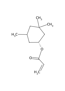 C=CC(=O)O[C@@H]1CC(C)CC(C)(C)C1